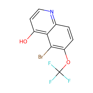 Oc1ccnc2ccc(OC(F)(F)F)c(Br)c12